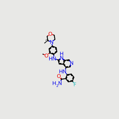 COc1cc(N2CCOC[C@@H]2C)ccc1Nc1cc2c(Nc3ccc(F)cc3C(N)=O)cncc2[nH]1